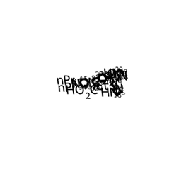 CCCN(CCC)[C@H]1CC[C@H](N(Cc2ccc(C(=O)N(Cc3ncc[nH]3)Cc3ncc[nH]3)cc2)C(CC)C(=O)O)CC1